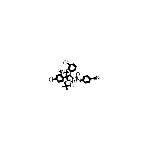 CC(C)(C)C[C@@H]1N[C@@H](C(=O)Nc2ccc(C#N)cc2)[C@H](c2cccc(Cl)c2)C12C(=O)Nc1cc(Cl)ccc12